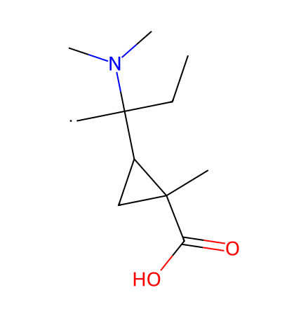 [CH2]C(CC)(C1CC1(C)C(=O)O)N(C)C